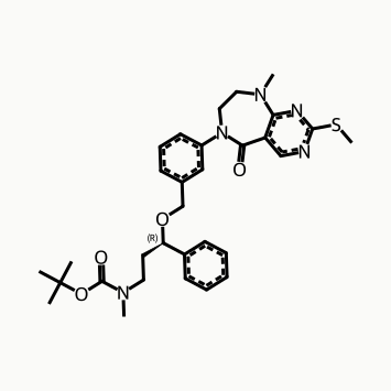 CSc1ncc2c(n1)N(C)CCN(c1cccc(CO[C@H](CCN(C)C(=O)OC(C)(C)C)c3ccccc3)c1)C2=O